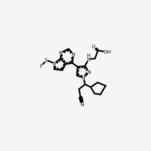 N#CCC(C1CCCC1)n1cc(-c2ncnc3c2ccn3SF)c(NCC(=O)O)n1